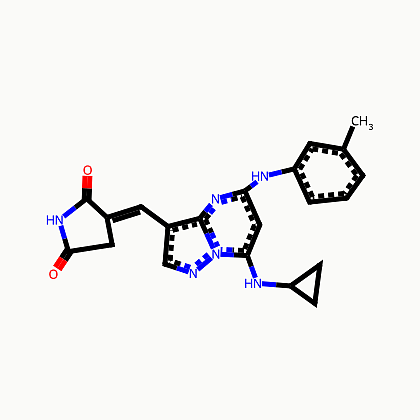 Cc1cccc(Nc2cc(NC3CC3)n3ncc(C=C4CC(=O)NC4=O)c3n2)c1